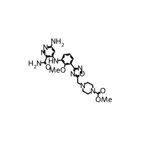 COC(=O)N1CCN(Cc2nc(-c3cccc(Nc4cc(N)nnc4C(N)=O)c3OC)no2)CC1